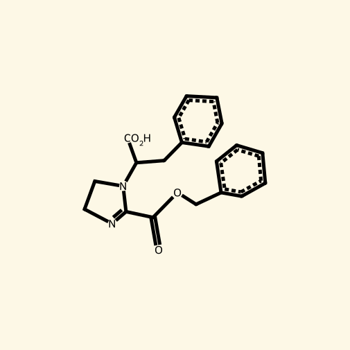 O=C(OCc1ccccc1)C1=NCCN1C(Cc1ccccc1)C(=O)O